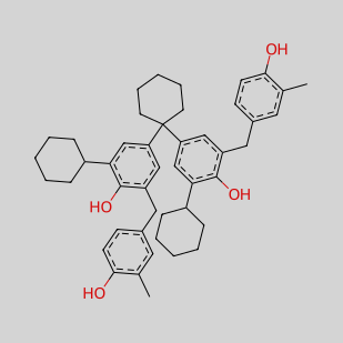 Cc1cc(Cc2cc(C3(c4cc(Cc5ccc(O)c(C)c5)c(O)c(C5CCCCC5)c4)CCCCC3)cc(C3CCCCC3)c2O)ccc1O